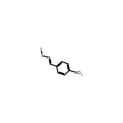 O=[N+]([O-])c1ccc(/C=N/SI)cc1